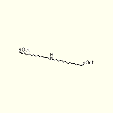 CCCCCCCC/C=C\CCCCCCCCCCCCNCCCCCCCCCCCC/C=C\CCCCCCCC